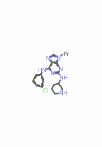 CC(C)n1cnc2c(Nc3cccc(Cl)c3)nc(NC3CCCNC3)nc21